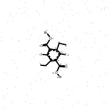 CCc1c(F)c(C(=O)OBr)c(CC)c(F)c1C(=O)OBr